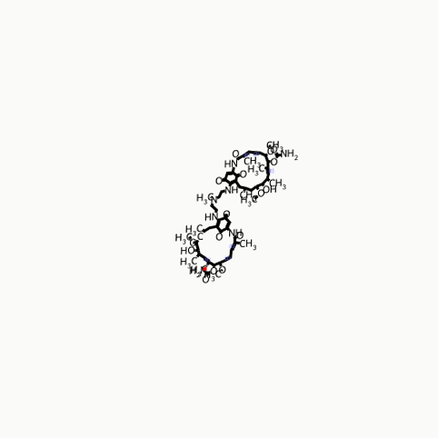 COC1/C=C\C=C(/C)C(=O)NC2=CC(=O)C(NCCN(C)CCNC3=C4CC(C)CC(OC)C(O)C(C)/C=C(\C)C(OC(N)=O)C(OC)/C=C\C=C(/C)C(=O)NC(=CC3=O)C4=O)=C(CC(C)CC(OC)C(O)C(C)/C=C(\C)C1OC(N)=O)C2=O